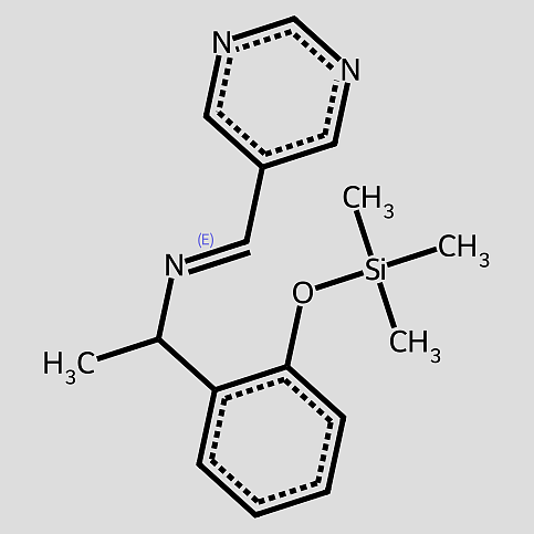 CC(/N=C/c1cncnc1)c1ccccc1O[Si](C)(C)C